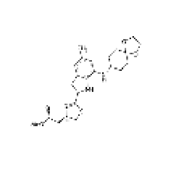 COC(=O)C[C@@H]1CSC(C2Cc3cc(C)cc(NC4CCC5(CC4)OCCO5)c3N2)=N1